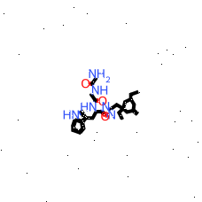 C=C1CC(CC)CC(CC)(Cc2noc(C(Cc3c[nH]c4ccccc34)NC(=O)CNC(=O)CN)n2)C1